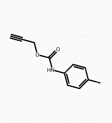 C#CCOC(=O)Nc1ccc([CH2])cc1